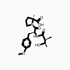 COc1ccc(C[C@H](NC(=O)[C@@H](C)[C@@H](C)O)C(=O)N2CCC[C@@]2(C)C(=O)O)cc1